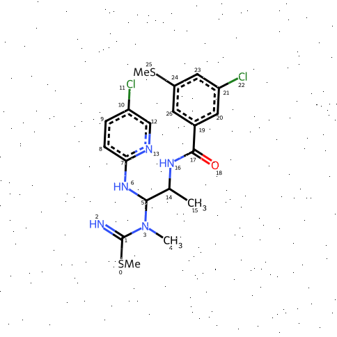 CSC(=N)N(C)C(Nc1ccc(Cl)cn1)C(C)NC(=O)c1cc(Cl)cc(SC)c1